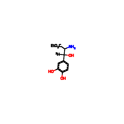 [2H]C(O)(c1ccc(O)c(O)c1)C(N)C(=O)OCC